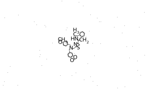 C=C(NC(C)c1ccccc1)c1csc(CN(Cc2ccc(OC)cc2)Cc2ccc3c(c2)OCO3)n1